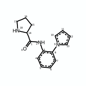 O=C(Nc1ccccc1-n1cccc1)C1CCCN1